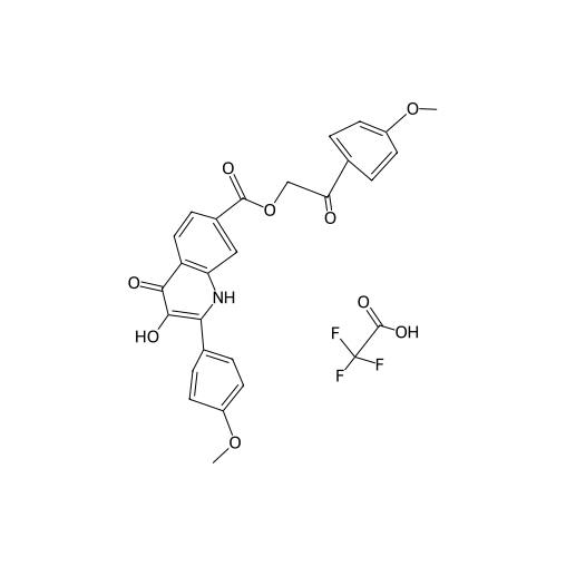 COc1ccc(C(=O)COC(=O)c2ccc3c(=O)c(O)c(-c4ccc(OC)cc4)[nH]c3c2)cc1.O=C(O)C(F)(F)F